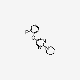 Fc1ccccc1Oc1cnc(N2CCCCC2)nc1